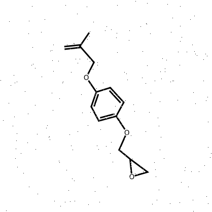 C=C(C)COc1ccc(OCC2CO2)cc1